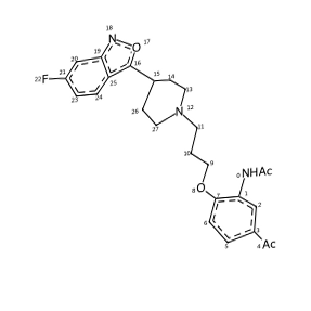 CC(=O)Nc1cc(C(C)=O)ccc1OCCCN1CCC(c2onc3cc(F)ccc23)CC1